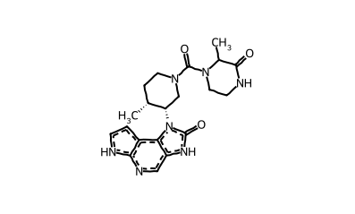 CC1C(=O)NCCN1C(=O)N1CC[C@@H](C)[C@@H](n2c(=O)[nH]c3cnc4[nH]ccc4c32)C1